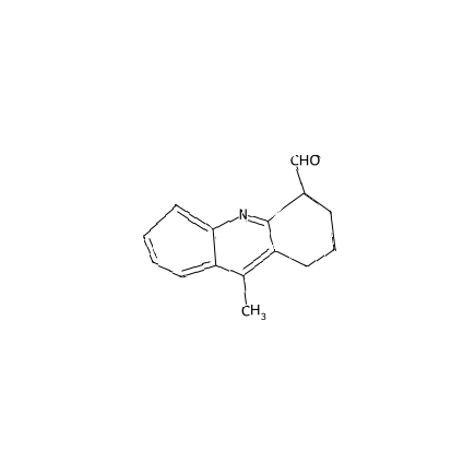 Cc1c2c(nc3ccccc13)C(C=O)CCC2